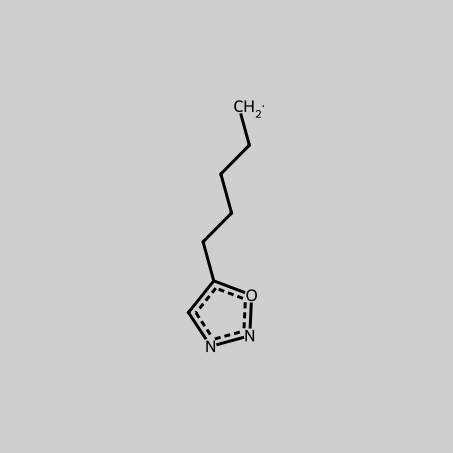 [CH2]CCCCc1cnno1